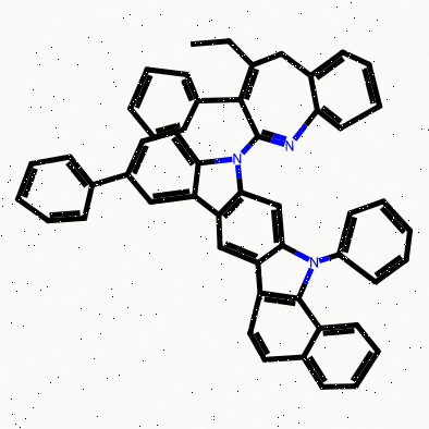 CCC1=C(c2ccccc2)C(n2c3ccc(-c4ccccc4)cc3c3cc4c5ccc6ccccc6c5n(-c5ccccc5)c4cc32)=Nc2ccccc2C1